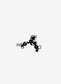 CCc1c(CCN2CCC(C(=O)O)CC2)cccc1-c1nnc(-c2ccc(OC(C)C)c(Cl)c2)s1.O=C(O)C(F)(F)F